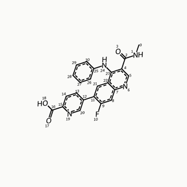 CNC(=O)c1cnc2cc(F)c(-c3ccc(C(=O)O)nc3)cc2c1Nc1ccccc1